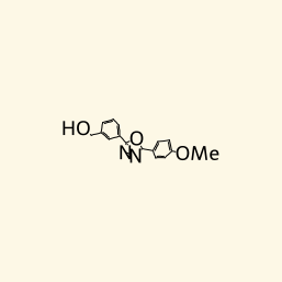 COc1ccc(-c2nnc(-c3cccc(CO)c3)o2)cc1